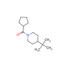 CC(C)(C)C1CCN(C(=O)C2CCCC2)CC1